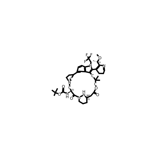 CO[C@@H](C)C1=C(c2c3c4cc(ccc4n2CC(F)(F)F)C2CCN(C2)C[C@H](NC(=O)OC(C)(C)C)C(=O)N2CCC[C@@H](CC(=O)OCC(C)(C)C3)N2)CCC=N1